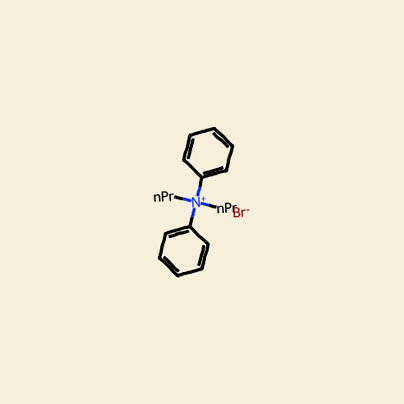 CCC[N+](CCC)(c1ccccc1)c1ccccc1.[Br-]